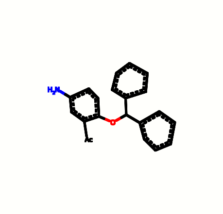 CC(=O)c1cc(N)ccc1OC(c1ccccc1)c1ccccc1